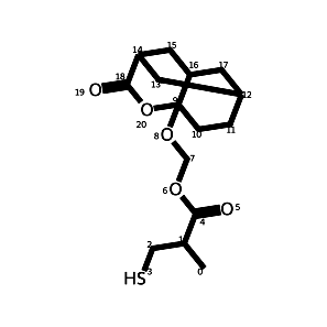 CC(CS)C(=O)OCOC12CCC3CC(CC1C3)C(=O)O2